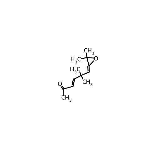 CC(=O)/C=C/C(C)(C)/C=C1/OC1(C)C